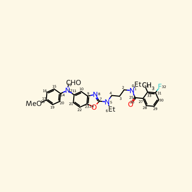 CCN(CCCN(CC)c1nc2cc(N(C=O)c3ccc(OC)cc3)ccc2o1)C(=O)c1cccc(F)c1C